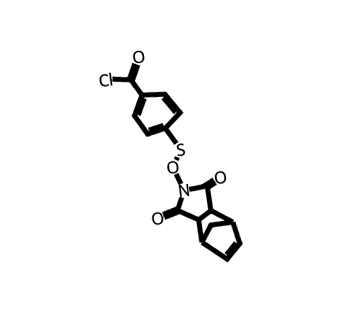 O=C(Cl)c1ccc(SON2C(=O)C3C4C=CC(C4)C3C2=O)cc1